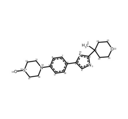 CC1(c2ncc(-c3ccc(N4CC[S+]([O-])CC4)cc3)s2)CCOCC1